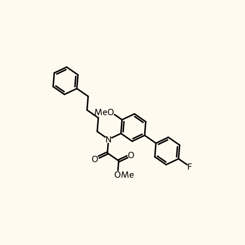 COC(=O)C(=O)N(CCCCc1ccccc1)c1cc(-c2ccc(F)cc2)ccc1OC